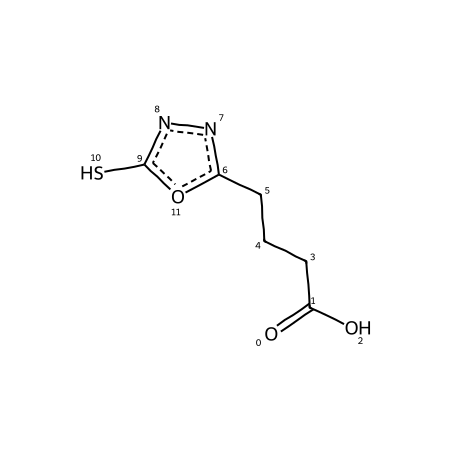 O=C(O)CCCc1nnc(S)o1